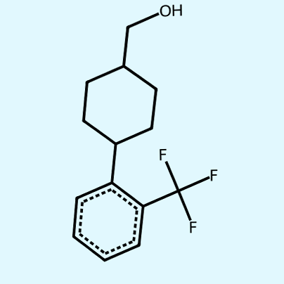 OCC1CCC(c2ccccc2C(F)(F)F)CC1